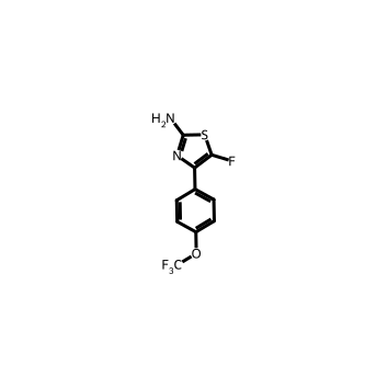 Nc1nc(-c2ccc(OC(F)(F)F)cc2)c(F)s1